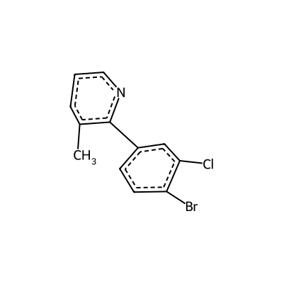 Cc1cccnc1-c1ccc(Br)c(Cl)c1